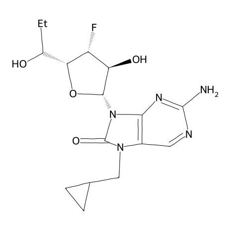 CCC(O)[C@H]1O[C@@H](n2c(=O)n(CC3CC3)c3cnc(N)nc32)[C@H](O)[C@H]1F